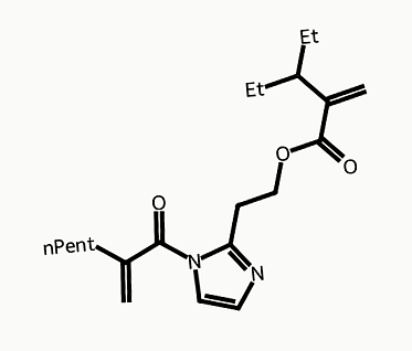 C=C(CCCCC)C(=O)n1ccnc1CCOC(=O)C(=C)C(CC)CC